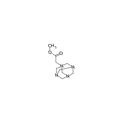 COC(=O)C[N+]12CN3CN(CN(C3)C1)C2